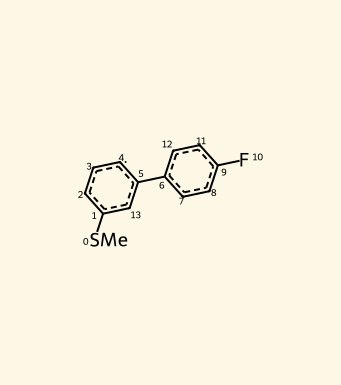 CSc1cc[c]c(-c2ccc(F)cc2)c1